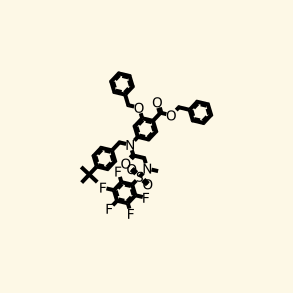 CN(CC(=O)N(Cc1ccc(C(C)(C)C)cc1)c1ccc(C(=O)OCc2ccccc2)c(OCc2ccccc2)c1)S(=O)(=O)c1c(F)c(F)c(F)c(F)c1F